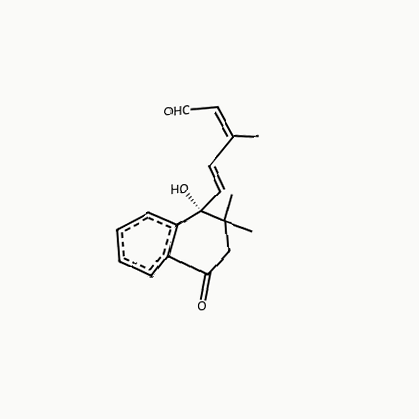 CC(=C/C=O)/C=C/[C@]1(O)c2ccccc2C(=O)CC1(C)C